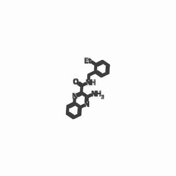 CCc1ccccc1CNC(=O)c1nc2ccccc2nc1N